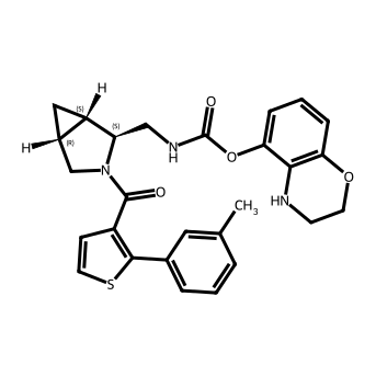 Cc1cccc(-c2sccc2C(=O)N2C[C@@H]3C[C@@H]3[C@H]2CNC(=O)Oc2cccc3c2NCCO3)c1